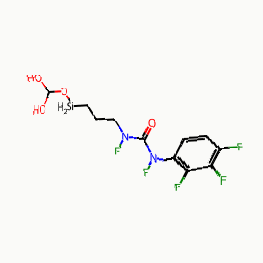 O=C(N(F)CCC[SiH2]OC(O)O)N(F)c1ccc(F)c(F)c1F